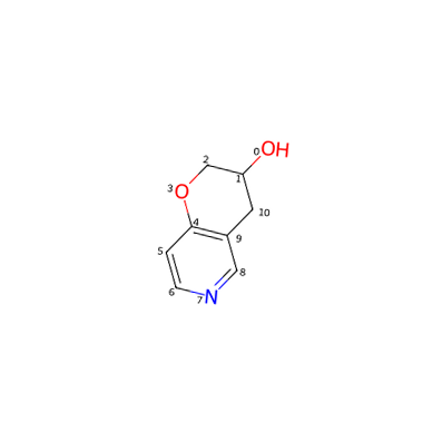 OC1COc2ccncc2C1